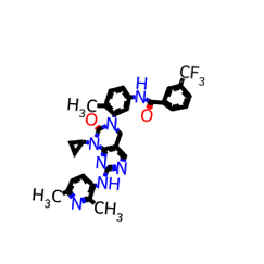 Cc1ccc(Nc2ncc3c(n2)N(C2CC2)C(=O)N(c2cc(NC(=O)c4cccc(C(F)(F)F)c4)ccc2C)C3)c(C)n1